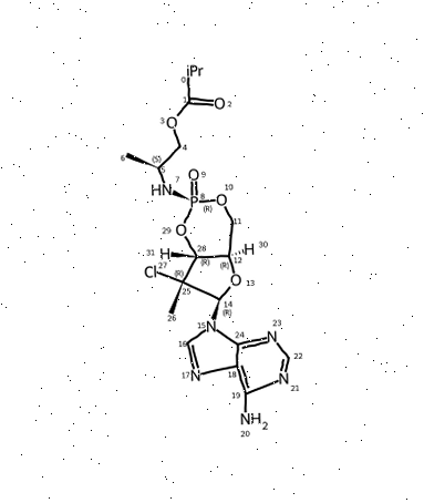 CC(C)C(=O)OC[C@H](C)N[P@@]1(=O)OC[C@H]2O[C@@H](n3cnc4c(N)ncnc43)[C@](C)(Cl)[C@@H]2O1